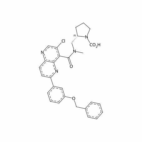 CN(C[C@@H]1CCCN1C(=O)O)C(=O)c1c(Cl)cnc2ccc(-c3cccc(OCc4ccccc4)c3)nc12